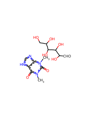 Cn1c(=O)c2[nH]cnc2n(C)c1=O.O=CC(O)C(O)C(O)C(O)CO